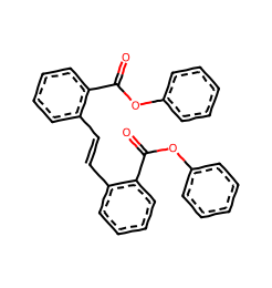 O=C(Oc1ccccc1)c1ccccc1/C=C/c1ccccc1C(=O)Oc1ccccc1